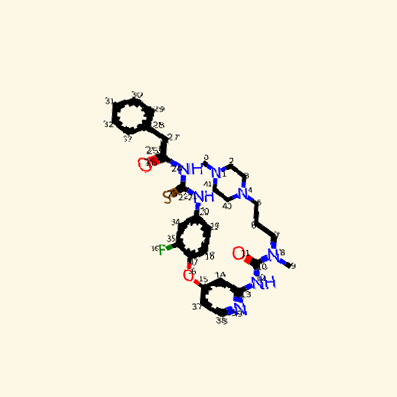 CN1CCN(CCCN(C)C(=O)Nc2cc(Oc3ccc(NC(=S)NC(=O)Cc4ccccc4)cc3F)ccn2)CC1